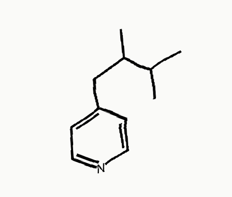 CC(C)C(C)Cc1ccncc1